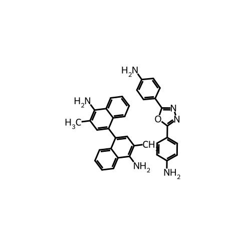 Cc1cc(-c2cc(C)c(N)c3ccccc23)c2ccccc2c1N.Nc1ccc(-c2nnc(-c3ccc(N)cc3)o2)cc1